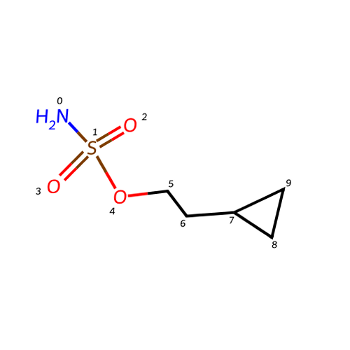 NS(=O)(=O)OCCC1CC1